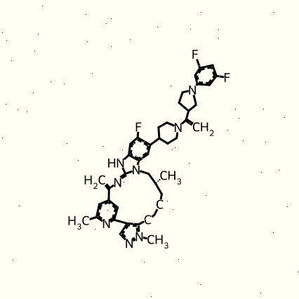 C=C1/N=C2\Nc3cc(F)c(C4CCN(C(=C)C5CCN(c6cc(F)cc(F)c6)C5)CC4)cc3N2C[C@H](C)CCCCc2c(cnn2C)-c2cc1cc(C)n2